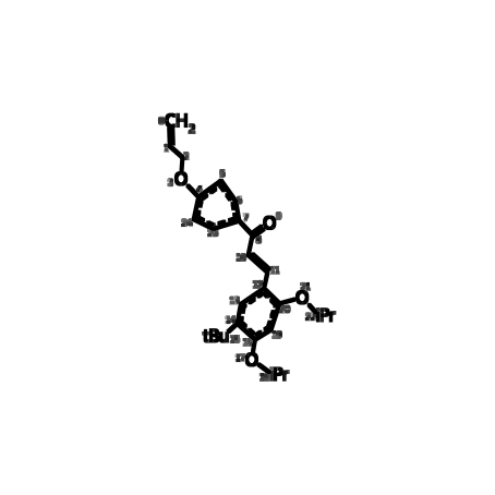 C=CCOc1ccc(C(=O)C=Cc2cc(C(C)(C)C)c(OC(C)C)cc2OC(C)C)cc1